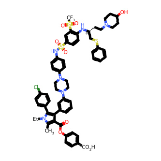 CCn1c(C)c(C(=O)Oc2ccc(C(=O)O)cc2)c(-c2cccc(N3CCN(c4ccc(NS(=O)(=O)c5ccc(N[C@H](CCN6CCC(O)CC6)CSc6ccccc6)c(S(=O)(=O)C(F)(F)F)c5)cc4)CC3)c2)c1-c1ccc(Cl)cc1